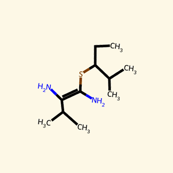 CCC(S/C(N)=C(\N)C(C)C)C(C)C